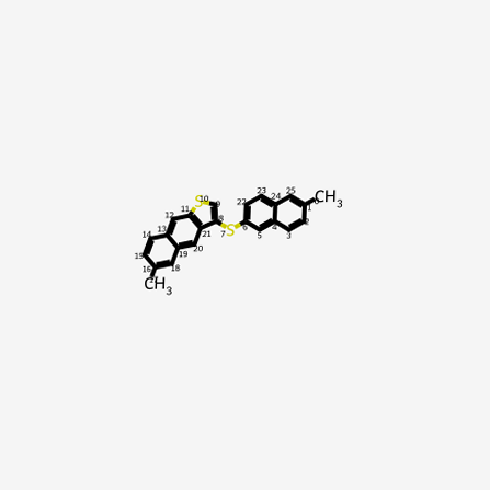 Cc1ccc2cc(Sc3csc4cc5ccc(C)cc5cc34)ccc2c1